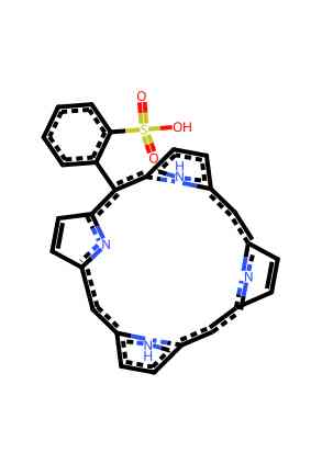 O=S(=O)(O)c1ccccc1-c1c2nc(cc3ccc(cc4nc(cc5ccc1[nH]5)C=C4)[nH]3)C=C2